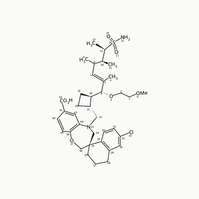 COCCO[C@@H](/C(C)=C/C(C)[C@H](C)[C@@H](C)S(N)(=O)=O)[C@@H]1CC[C@H]1CN1C[C@@]2(CCCc3cc(Cl)ccc32)COc2ccc(C(=O)O)cc21